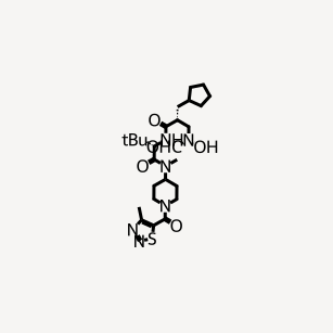 Cc1nnsc1C(=O)N1CCC(N(C)C(=O)[C@@H](NC(=O)[C@H](CC2CCCC2)CN(O)C=O)C(C)(C)C)CC1